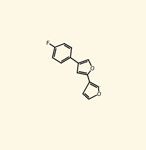 Fc1ccc(-c2coc(-c3[c]occ3)c2)cc1